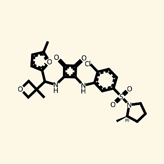 Cc1ccc(C(Nc2c(Nc3cc(S(=O)(=O)N4CCC[C@H]4C)ccc3Cl)c(=O)c2=O)C2(C)COC2)o1